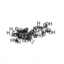 CSCN(C[C@H](CC(C)C)NC(=O)[C@H](Cc1cnc[nH]1)NC(=O)CNC(=O)[C@@H](NC(=O)[C@H](C)NC(=O)[C@H](Cc1c[nH]c2ccccc12)NC(=O)[C@H](Cc1cnc[nH]1)NC(=O)[C@@H](Cc1ccccc1)NC(=O)CN1CCC(NC(=O)CN2CCN(CC(=O)O)CCN(CC(=O)O)CCN(CC(=O)O)CC2)CC1)C(C)C)[C@@H](C)C(N)=O